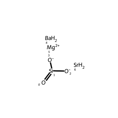 O=[Si]([O-])[O-].[BaH2].[Mg+2].[SrH2]